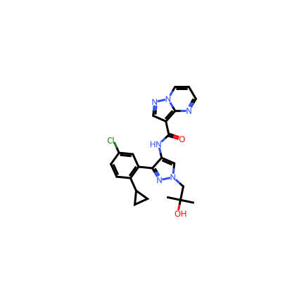 CC(C)(O)Cn1cc(NC(=O)c2cnn3cccnc23)c(-c2cc(Cl)ccc2C2CC2)n1